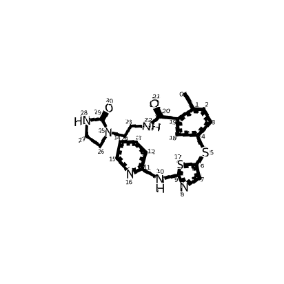 Cc1ccc(Sc2cnc(Nc3ccccn3)s2)cc1C(=O)NCCN1CCNC1=O